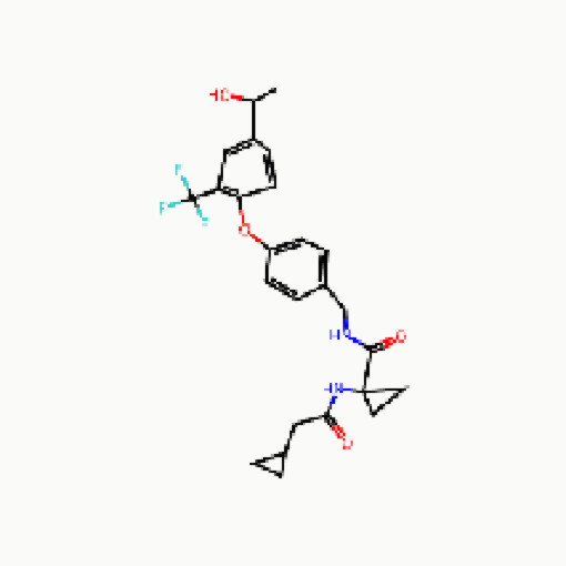 CC(O)c1ccc(Oc2ccc(CNC(=O)C3(NC(=O)CC4CC4)CC3)cc2)c(C(F)(F)F)c1